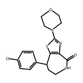 O=C1NCCC(c2ccc(Cl)cc2)c2sc(N3CCOCC3)nc21